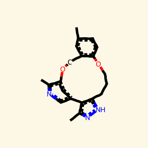 Cc1ccc2c(c1)COc1cc(cnc1C)-c1c(C)n[nH]c1CCCO2